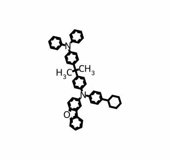 CC(C)(c1ccc(N(c2ccccc2)c2ccccc2)cc1)c1ccc(N(c2ccc(C3CCCCC3)cc2)c2ccc3oc4ccccc4c3c2)cc1